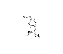 COc1ccc(CC(C)NI)cc1